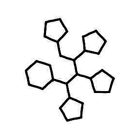 C1CC[C](C(C2CCCC2)C(C2CCCC2)C(CC2CCCC2)C2CCCC2)CC1